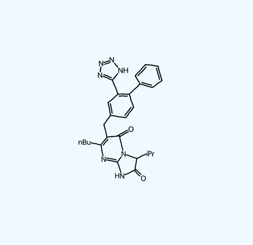 CCCCc1nc2n(c(=O)c1Cc1ccc(-c3ccccc3)c(-c3nnn[nH]3)c1)C(C(C)C)C(=O)N2